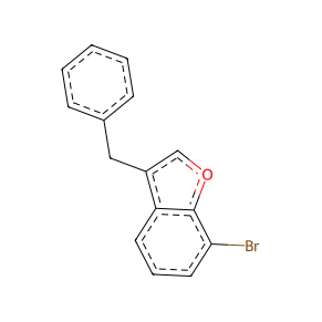 Brc1cccc2c(Cc3ccccc3)coc12